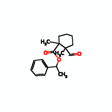 CC(OC(=O)C1(C)CCCCC1(C)[C]=O)c1ccccc1